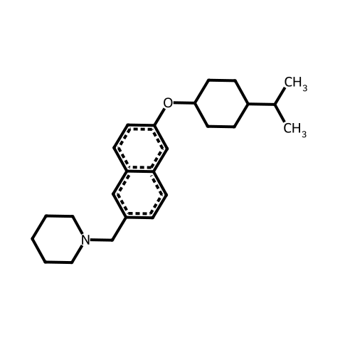 CC(C)C1CCC(Oc2ccc3cc(CN4CCCCC4)ccc3c2)CC1